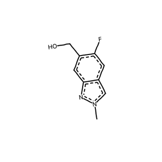 Cn1cc2cc(F)c(CO)cc2n1